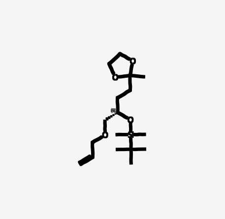 C=CCOC[C@H](CCC1(C)OCCO1)O[Si](C)(C)C(C)(C)C